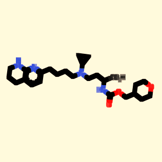 O=C(NC(CCN(CCCCc1ccc2c(n1)NCCC2)C1CC1)C(=O)O)OCC1CCOCC1